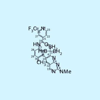 BC(B)(B)c1nc2nc(NC)ncc2cc1-c1cc(NC(=O)c2ccnc(C(F)(F)F)c2)ccc1C